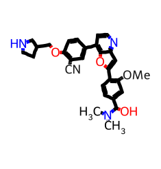 COc1cc(C(O)N(C)C)ccc1-c1cc2nccc(-c3ccc(OCC4CCNC4)c(C#N)c3)c2o1